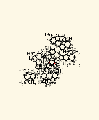 Cc1cc2c3c(c1)N(c1cccc4sc5ccc(C(C)(C)C)cc5c14)c1cc4c(cc1B3c1c(sc3cc5c(cc13)C(C)(C)C(CC(C)(C)c1cc3c6c(c1)N(c1ccc(C(C)(C)C)c7oc8ccccc8c17)c1cc7c(cc1B6c1c(sc6cc8c(cc16)C(C)(C)CCC8(C)C)N3c1ccc3c(c1)C(C)(C)CCC3(C)C)C(C)(C)CCC7(C)C)CC5(C)C)N2c1ccc2c(c1)C(C)(C)CCC2(C)C)C(C)(C)CCC4(C)C